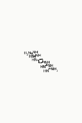 N=C(N)NC(=N)Nc1ccc(NC(=N)NC(=N)N)cc1